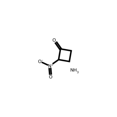 N.O=C1CCC1[N+](=O)[O-]